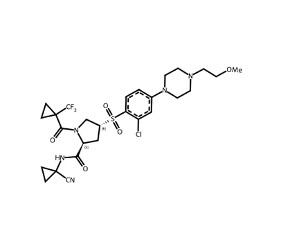 COCCN1CCN(c2ccc(S(=O)(=O)[C@@H]3C[C@@H](C(=O)NC4(C#N)CC4)N(C(=O)C4(C(F)(F)F)CC4)C3)c(Cl)c2)CC1